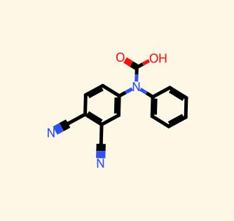 N#Cc1ccc(N(C(=O)O)c2ccccc2)cc1C#N